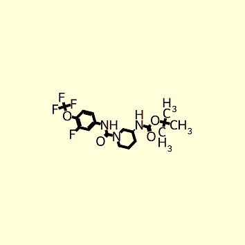 CC(C)(C)OC(=O)N[C@@H]1CCCN(C(=O)Nc2ccc(OC(F)(F)F)c(F)c2)C1